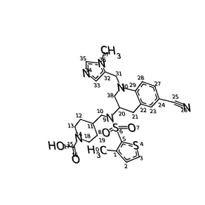 Cc1ccsc1S(=O)(=O)N(CC1CCN(C(=O)O)CC1)C1Cc2cc(C#N)ccc2N(Cc2cncn2C)C1